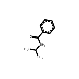 CC(C)[SiH2]C(=O)c1ccccc1